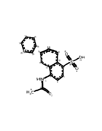 CC(=O)Nc1ccc(S(=O)(=O)O)c2ccccc12.c1ccncc1